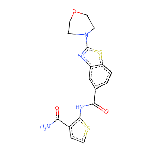 NC(=O)c1ccsc1NC(=O)c1ccc2sc(N3CCOCC3)nc2c1